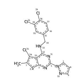 Cc1sc2nc(-n3cccn3)nc(NCc3ccc(Cl)c(Cl)c3)c2c1Cl